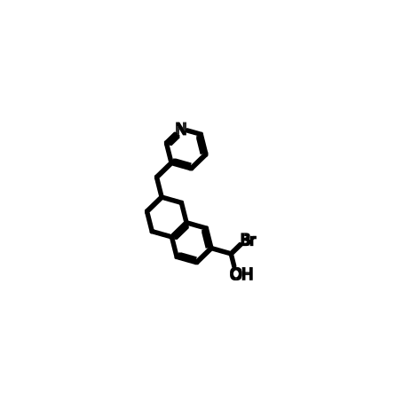 OC(Br)c1ccc2c(c1)CC(Cc1cccnc1)CC2